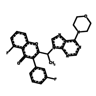 CC(c1oc2cccc(F)c2c(=O)c1-c1cccc(F)c1)n1cnc2c(N3CCOCC3)ncnc21